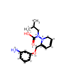 CC(C)CN(C(=O)O)N1CC=CC=C1COc1cccc(N)c1